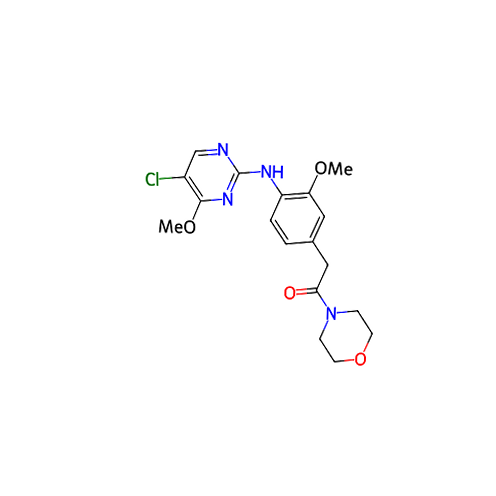 COc1cc(CC(=O)N2CCOCC2)ccc1Nc1ncc(Cl)c(OC)n1